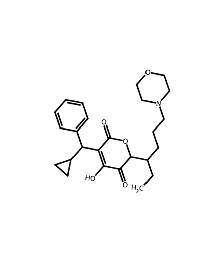 CCC(CCCN1CCOCC1)C1OC(=O)C(C(c2ccccc2)C2CC2)=C(O)C1=O